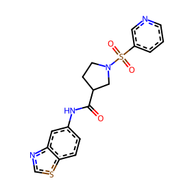 O=C(Nc1ccc2scnc2c1)C1CCN(S(=O)(=O)c2cccnc2)C1